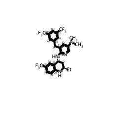 CC[C@@H]1C[C@@H](Nc2ncc(N(C)C)cc2Cc2cc(C(F)(F)F)cc(C(F)(F)F)c2)c2cc(C(F)(F)F)ccc2N1